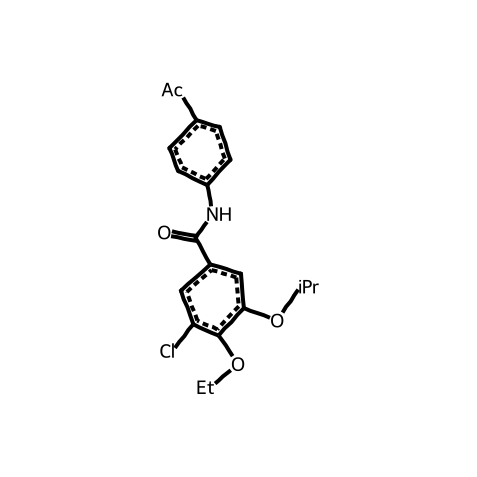 CCOc1c(Cl)cc(C(=O)Nc2ccc(C(C)=O)cc2)cc1OC(C)C